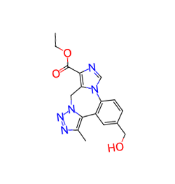 CCOC(=O)c1ncn2c1Cn1nnc(C)c1-c1cc(CO)ccc1-2